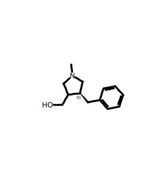 CN1CC(CO)[C@H](Cc2ccccc2)C1